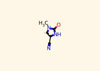 Cn1[c]c(C#N)[nH]c1=O